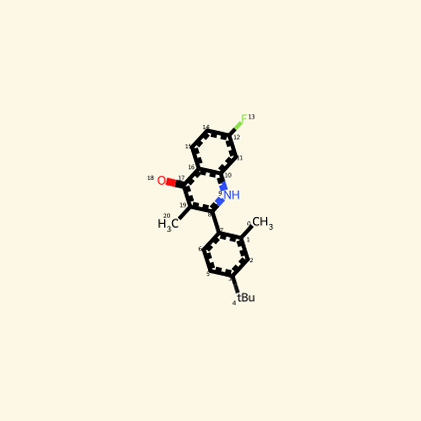 Cc1cc(C(C)(C)C)ccc1-c1[nH]c2cc(F)ccc2c(=O)c1C